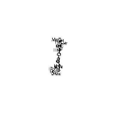 COC(=O)NC(C(=O)N1CCCC1c1ncc(-c2ccc(-c3cc4ccc(-c5cnc(C6CCCN6C(=O)C(NC(=O)OC)C(C)C)[nH]5)cc4s3)cc2)[nH]1)C(C)C